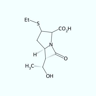 CCSC1C[C@@H]2[C@@H]([C@@H](C)O)C(=O)N2C1C(=O)O